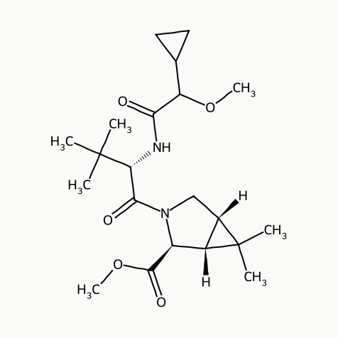 COC(=O)[C@@H]1[C@@H]2[C@H](CN1C(=O)[C@@H](NC(=O)C(OC)C1CC1)C(C)(C)C)C2(C)C